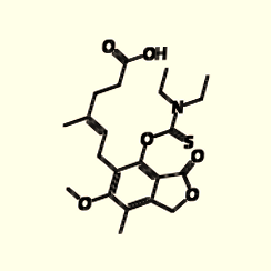 CCN(CC)C(=S)Oc1c(C/C=C(\C)CCC(=O)O)c(OC)c(C)c2c1C(=O)OC2